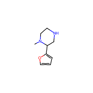 CN1CCNCC1c1ccco1